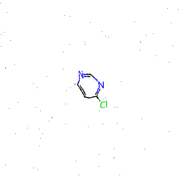 Clc1c[c]ncn1